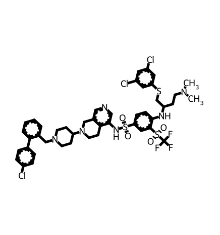 CN(C)CCC(CSc1cc(Cl)cc(Cl)c1)Nc1ccc(S(=O)(=O)Nc2cncc3c2CCN(C2CCN(Cc4ccccc4-c4ccc(Cl)cc4)CC2)C3)cc1S(=O)(=O)C(F)(F)F